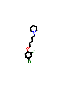 Clc1ccc(OCCCCCN2CCCCC2)c(Cl)c1